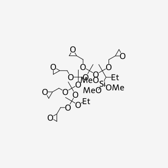 CCOC(C)(OCC1CO1)OC(C)(OCC1CO1)OC(C)(OCC1CO1)OC(C)(OCC1CO1)OC(C)(OCC1CO1)C(CC)[Si](OC)(OC)OC